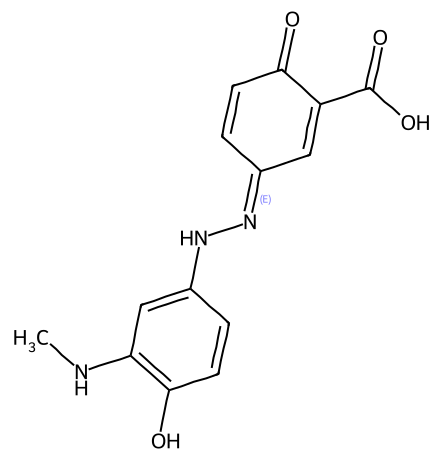 CNc1cc(N/N=C2\C=CC(=O)C(C(=O)O)=C2)ccc1O